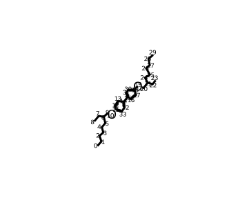 CCCCCCC(CC)COc1ccc(-c2ccc(OCC(CC)CCCCCC)cc2)cc1